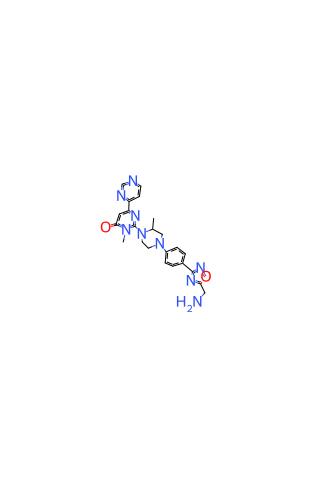 CC1CN(c2ccc(-c3noc(CN)n3)cc2)CCN1c1nc(-c2ccncn2)cc(=O)n1C